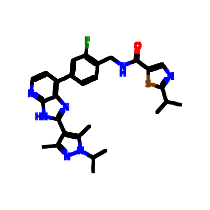 Cc1nn(C(C)C)c(C)c1-c1nc2c(-c3ccc(CNC(=O)c4cnc(C(C)C)s4)c(F)c3)ccnc2[nH]1